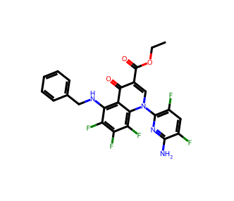 CCOC(=O)c1cn(-c2nc(N)c(F)cc2F)c2c(F)c(F)c(F)c(NCc3ccccc3)c2c1=O